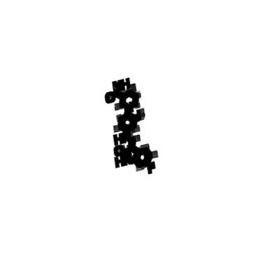 NC(=O)C1CCCN(c2ccc(N/C=C3\C(=O)Nc4cc(F)ccc43)cc2F)C1